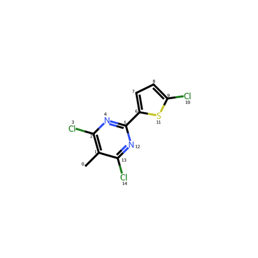 Cc1c(Cl)nc(-c2ccc(Cl)s2)nc1Cl